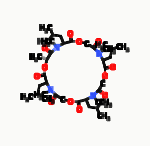 CC(C)CC1C(=O)OCC(=O)N(C)C(CC(C)C)C(=O)O[C@H](C)C(=O)N(C)C(CC(C)C)C(=O)OCC(=O)N(C)C(CC(C)C)C(=O)OCC(=O)N1C